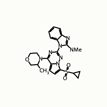 CNc1nc2ccccc2n1-c1nc(N2CCOCC2C)c2ccc(S(=O)(=O)C3CC3)n2n1